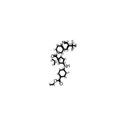 CCOC(=O)C1CCC(NC2CC[C@@](C(=O)N3CCc4ncc(C(F)(F)F)cc4C3)(C(C)C)C2)CC1